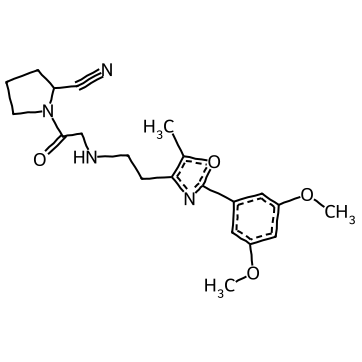 COc1cc(OC)cc(-c2nc(CCNCC(=O)N3CCCC3C#N)c(C)o2)c1